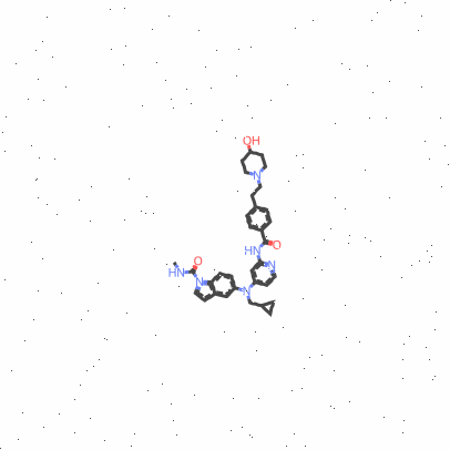 CNC(=O)n1ccc2cc(N(CC3CC3)c3ccnc(NC(=O)c4ccc(CCN5CCC(O)CC5)cc4)c3)ccc21